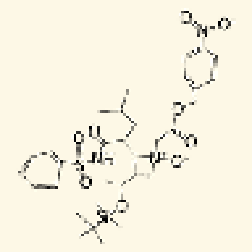 CC(C)CC(C(=O)NS(=O)(=O)c1ccccc1)[C@H]1[C@@H]([C@@H](C)O[Si](C)(C)C(C)(C)C)C[N+]1([O-])CC(=O)OCc1ccc([N+](=O)[O-])cc1